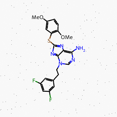 COc1ccc(OC)c(Sc2nc3c(N)ncn(CCc4cc(F)cc(F)c4)c-3n2)c1